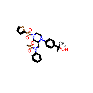 CC(O)(c1ccc(N2CCN(S(=O)(=O)c3cccs3)C[C@@H]2CN(c2ccccc2)S(C)(=O)=O)cc1)C(F)(F)F